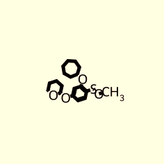 COSc1ccc(OC2CCCCO2)cc1OC1CCCCCC1